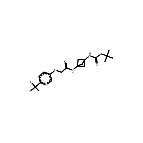 CC(C)(C)OC(=O)NC12CC(NC(=O)COc3ccc(C(F)(F)F)nc3)(C1)C2